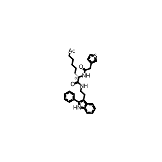 CC(=O)CCCCC[C@H](NC(=O)Cc1ccsc1)C(=O)NCCc1c(-c2ccccc2)[nH]c2ccccc12